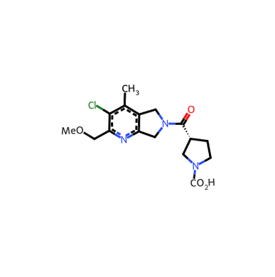 COCc1nc2c(c(C)c1Cl)CN(C(=O)[C@@H]1CCN(C(=O)O)C1)C2